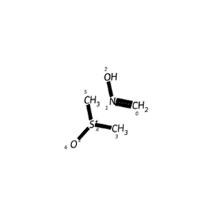 C=NO.C[S+](C)[O-]